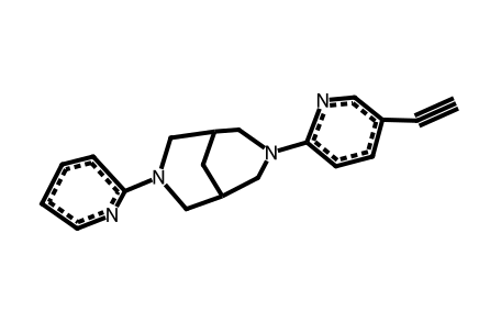 C#Cc1ccc(N2CC3CC(CN(c4ccccn4)C3)C2)nc1